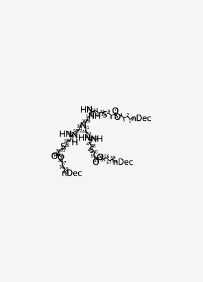 CCCCCCCCCCCCCCOC(=O)CCSCCCC(=N)NCCCN(CCCNC(=N)CCCSCCC(=O)OCCCCCCCCCCCCCC)CCCNC(=N)CCSCCC(=O)OCCCCCCCCCCCCCC